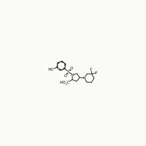 N#Cc1cccc(S(=O)(=O)N2CC(N3CCCC(F)(F)C3)CC2C(=O)O)c1